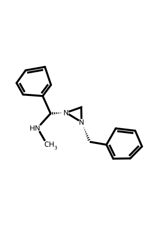 CNC(c1ccccc1)[N@]1C[N@]1Cc1ccccc1